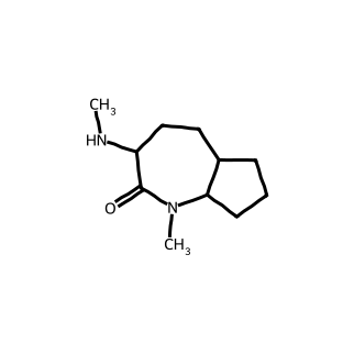 CNC1CCC2CCCC2N(C)C1=O